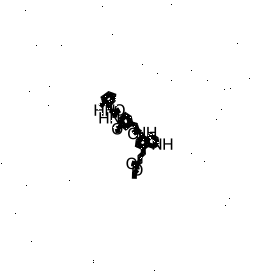 CCOC(=O)CCCc1ccc(NC(=O)Cc2ccc(NC(=O)Nc3ccccc3C)c(OC)c2)c2c1CNCC2